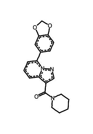 O=C(c1cnn2c(-c3ccc4c(c3)OCO4)cccc12)N1CCCCC1